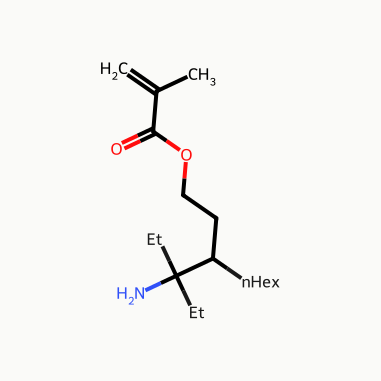 C=C(C)C(=O)OCCC(CCCCCC)C(N)(CC)CC